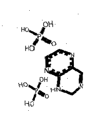 C1=NCNc2nccnc21.O=P(O)(O)O.O=P(O)(O)O